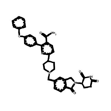 NC(=O)c1ccc(C2CCN(Cc3ccc4c(c3)CN(C3CCC(=O)NC3=O)C4=O)CC2)nc1-c1ccc(Oc2ccccc2)cc1